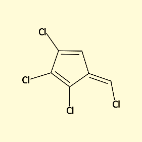 ClC=C1C=C(Cl)C(Cl)=C1Cl